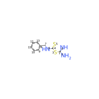 N=C(N)SC(=S)NCc1ccccc1